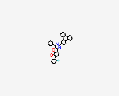 Oc1c(-c2ccccc2F)ccc2c1oc1c(-c3ccccc3)nc(-c3ccc4c5ccccc5c5ccccc5c4c3)nc12